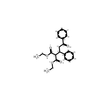 CCOC(=O)C(C(=O)OCC)C(CC(=O)c1ccccc1)c1ccccc1